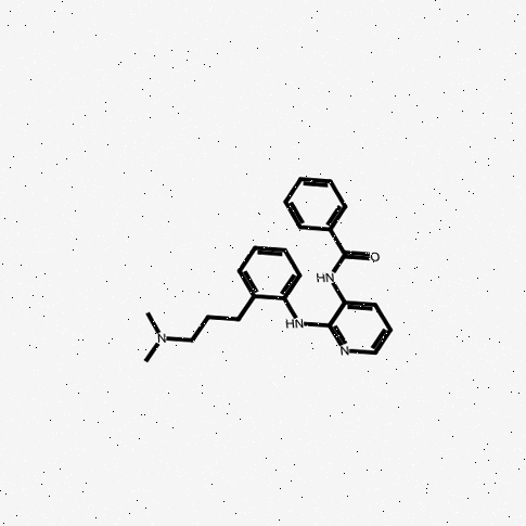 CN(C)CCCc1ccccc1Nc1ncccc1NC(=O)c1ccccc1